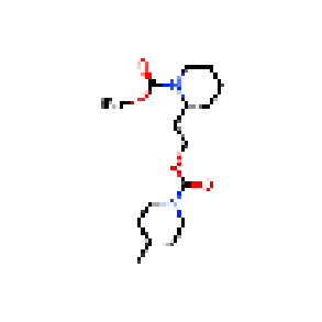 CC1CCN(C(=O)OCCC2CCCCN2C(=O)OC(C)(C)C)CC1